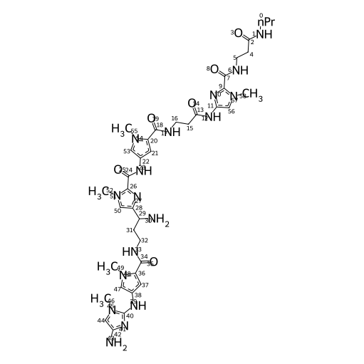 CCCNC(=O)CCNC(=O)c1nc(NC(=O)CCNC(=O)c2cc(NC(=O)c3nc(C(N)CCNC(=O)c4cc(Nc5nc(N)cn5C)cn4C)cn3C)cn2C)cn1C